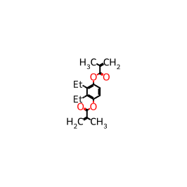 C=C(C)C(=O)Oc1ccc(OC(=O)C(=C)C)c(CC)c1CC